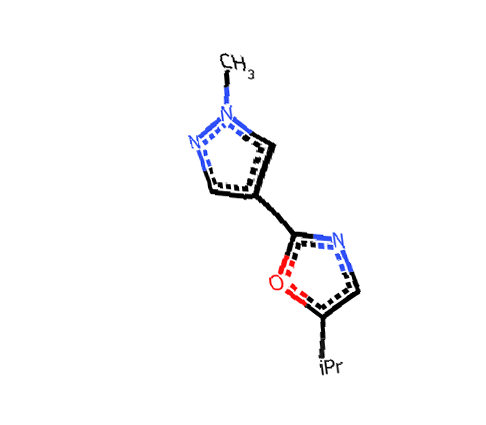 CC(C)c1cnc(-c2cnn(C)c2)o1